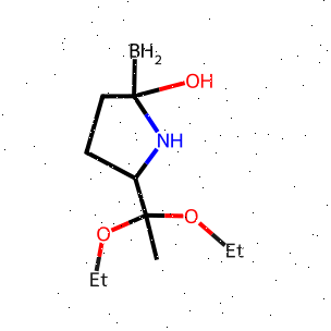 BC1(O)CCC(C(C)(OCC)OCC)N1